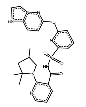 CC1CN(c2ncccc2C(=O)NS(=O)(=O)c2cccc(Oc3ccc4[nH]ccc4n3)n2)C(C)(C)C1